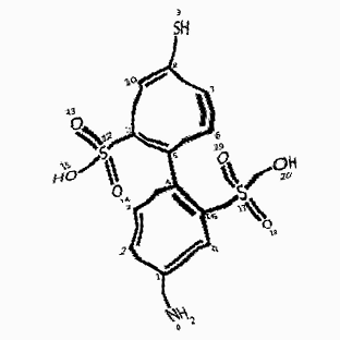 Nc1ccc(-c2ccc(S)cc2S(=O)(=O)O)c(S(=O)(=O)O)c1